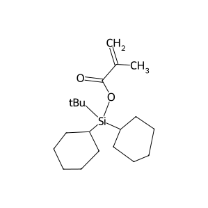 C=C(C)C(=O)O[Si](C1CCCCC1)(C1CCCCC1)C(C)(C)C